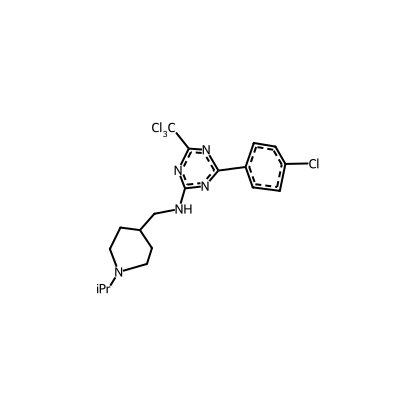 CC(C)N1CCC(CNc2nc(-c3ccc(Cl)cc3)nc(C(Cl)(Cl)Cl)n2)CC1